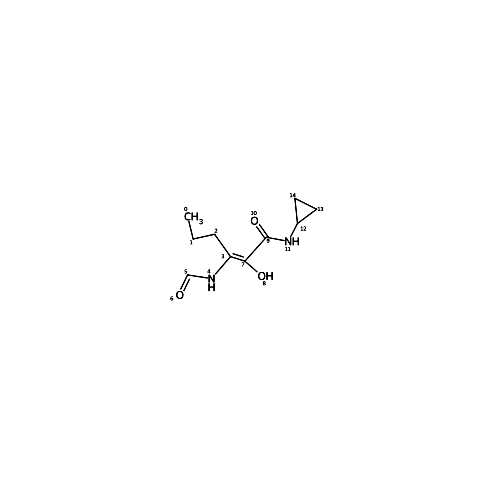 CCC/C(NC=O)=C(/O)C(=O)NC1CC1